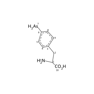 NC(Cc1ccc([AsH2])cc1)C(=O)O